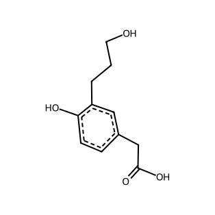 O=C(O)Cc1ccc(O)c(CCCO)c1